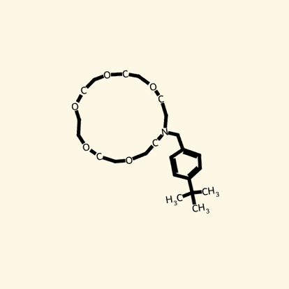 CC(C)(C)c1ccc(CN2CCOCCOCCOCCOCCOCC2)cc1